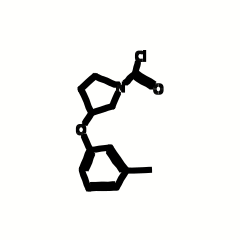 Cc1cccc(OC2CCN(C(=O)Cl)C2)c1